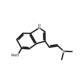 COc1ccc2[nH]cc(/C=C/N(C)C)c2c1